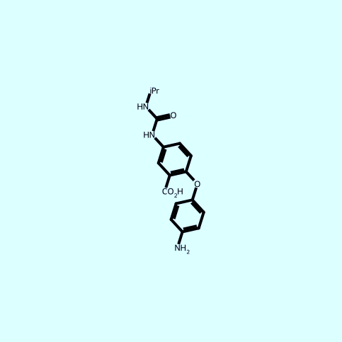 CC(C)NC(=O)Nc1ccc(Oc2ccc(N)cc2)c(C(=O)O)c1